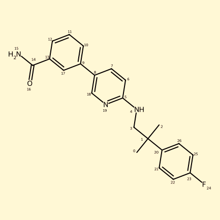 CC(C)(CNc1ccc(-c2cccc(C(N)=O)c2)cn1)c1ccc(F)cc1